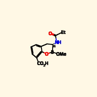 CCC(=O)N[C@H]1Cc2cccc(C(=O)O)c2OB1OC